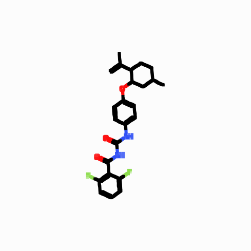 C=C(C)C1CCC(C)CC1Oc1ccc(NC(=O)NC(=O)c2c(F)cccc2F)cc1